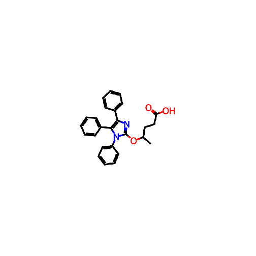 CC(CCC(=O)O)Oc1nc(-c2ccccc2)c(-c2ccccc2)n1-c1ccccc1